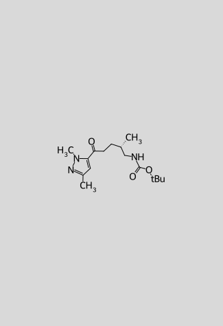 Cc1cc(C(=O)CC[C@H](C)CNC(=O)OC(C)(C)C)n(C)n1